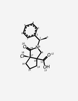 C[C@H](c1ccccc1)N1CC2(C(=O)O)CCC[C@]2(Cl)C1=O